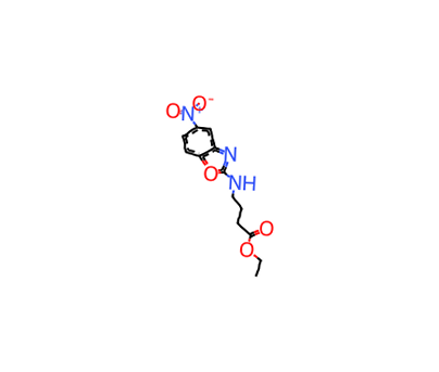 CCOC(=O)CCCNc1nc2cc([N+](=O)[O-])ccc2o1